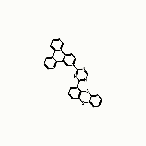 c1ccc2c(c1)Sc1cccc(-c3ncnc(-c4ccc5c6ccccc6c6ccccc6c5c4)n3)c1S2